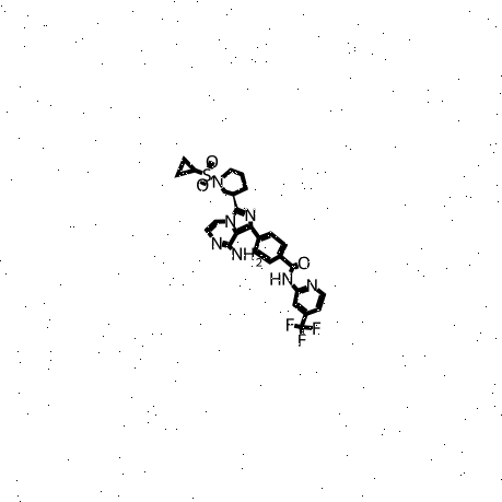 Nc1nccn2c([C@@H]3CCCN(S(=O)(=O)C4CC4)C3)nc(-c3ccc(C(=O)Nc4cc(C(F)(F)F)ccn4)cc3)c12